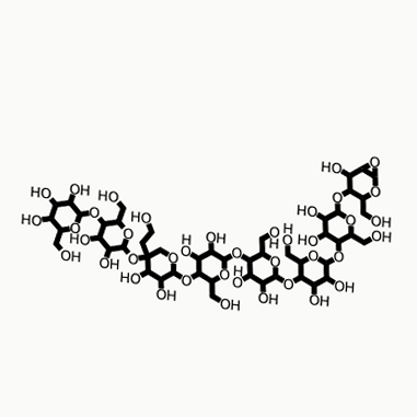 OCCC1(OC2OC(CO)C(OC3OC(CO)C(O)C(O)C3O)C(O)C2O)COC(OC2C(CO)OC(OC3C(CO)OC(OC4C(CO)OC(OC5C(CO)OC(OC6C(CO)OC7OC7C6O)C(O)C5O)C(O)C4O)C(O)C3O)C(O)C2O)C(O)C1O